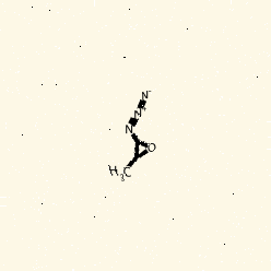 CC1OC1N=[N+]=[N-]